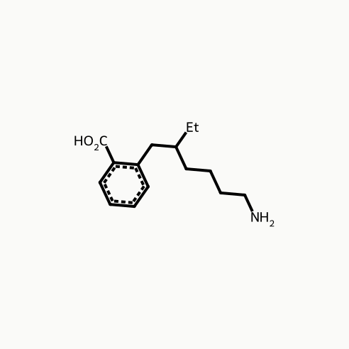 CCC(CCCCN)Cc1ccccc1C(=O)O